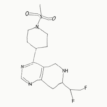 CS(=O)(=O)N1CCC(c2ncnc3c2CNC(C(F)F)C3)CC1